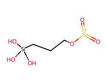 O=[SH](=O)OCCC[Si](O)(O)O